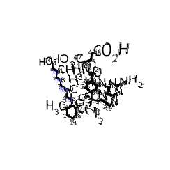 CC1=C(/C=C/C(C)=C/C=C/C(C)=C/CO)C(C)(C)CCC1.CN(Cc1cnc2nc(N)nc(N)c2n1)c1ccc(C(=O)N[C@@H](CCC(=O)O)C(=O)O)cc1